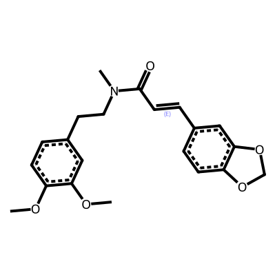 COc1ccc(CCN(C)C(=O)/C=C/c2ccc3c(c2)OCO3)cc1OC